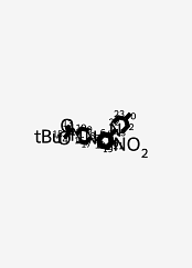 CC1CCN(c2cc(N3CCN(C(=O)OC(C)(C)C)CC3)ccc2[N+](=O)[O-])CC1